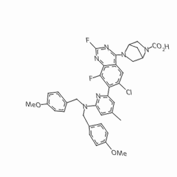 COc1ccc(CN(Cc2ccc(OC)cc2)c2cc(C)cc(-c3c(Cl)cc4c(N5CC6CC5CN6C(=O)O)nc(F)nc4c3F)n2)cc1